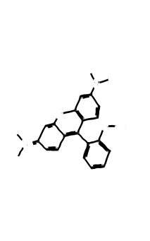 CN(C)c1ccc2c(-c3ccccc3OC=O)c3ccc(=[N+](C)C)cc-3oc2c1